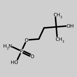 CC(C)(O)CCOP(N)(=O)O